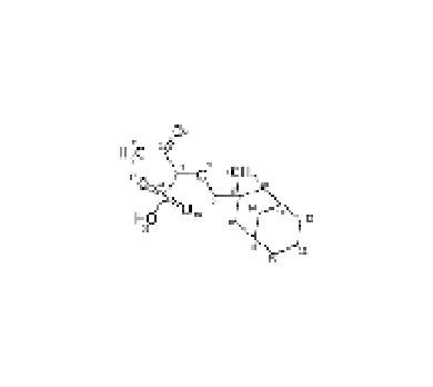 CC(=O)C(OCC1(C)CC2CCCC(C2)C1)S(=O)(=O)O